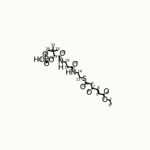 CCOC(=O)/C=C/C(=O)CC(=O)SCCNC(=O)CCNC(=O)[C@@H]1OP(=O)(O)OCC1(C)C